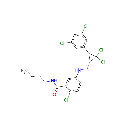 O=C(NCCCC(F)(F)F)c1cc(NCC2C(c3cc(Cl)cc(Cl)c3)C2(Cl)Cl)ccc1Cl